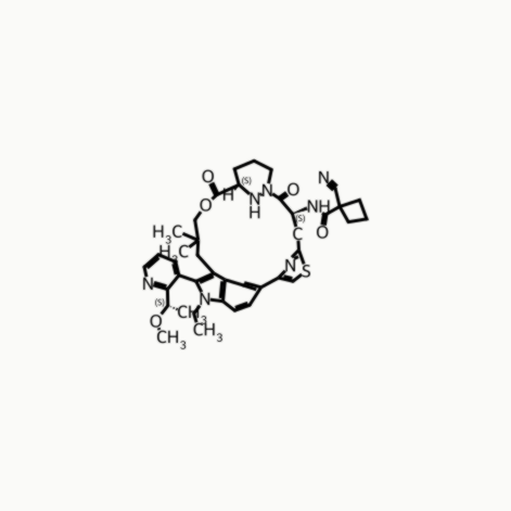 CCn1c(-c2cccnc2[C@H](C)OC)c2c3cc(ccc31)-c1csc(n1)C[C@H](NC(=O)C1(C#N)CCC1)C(=O)N1CCC[C@H](N1)C(=O)OCC(C)(C)C2